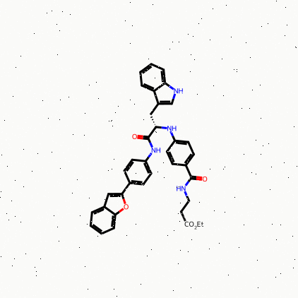 CCOC(=O)CCNC(=O)c1ccc(N[C@@H](Cc2c[nH]c3ccccc23)C(=O)Nc2ccc(-c3cc4ccccc4o3)cc2)cc1